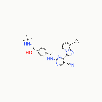 C[C@H](Nc1ncc(C#N)c(-c2cnc3c(C4CC4)cccn23)n1)c1ccc([C@H](O)CNC(C)(C)C)cc1